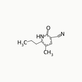 CCCc1[nH]c(=O)c(C#N)cc1C